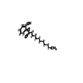 CCCCCCCCCCCC(=O)Oc1ccccc1O